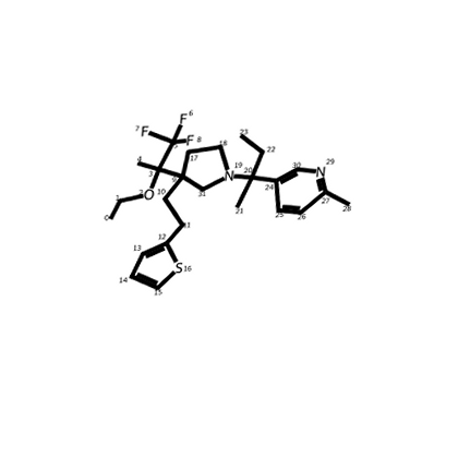 CCOC(C)(C(F)(F)F)C1(CCc2cccs2)CCN(C(C)(CC)c2ccc(C)nc2)C1